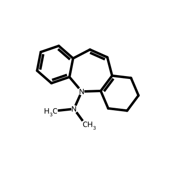 CN(C)N1C2=C(C=Cc3ccccc31)CCCC2